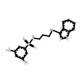 O=S(=O)(NCCCNc1nsc2ccccc12)c1cc(C(F)(F)F)cc(C(F)(F)F)c1